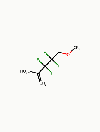 C=C(C(=O)O)C(F)(F)C(F)(F)COC(F)(F)F